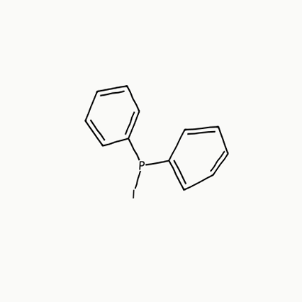 IP(c1ccccc1)c1ccccc1